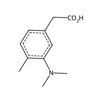 Cc1ccc(CC(=O)O)cc1N(C)C